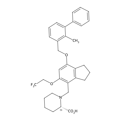 Cc1c(COc2cc(OCC(F)(F)F)c(CN3CCCC[C@H]3C(=O)O)c3c2CCC3)cccc1-c1ccccc1